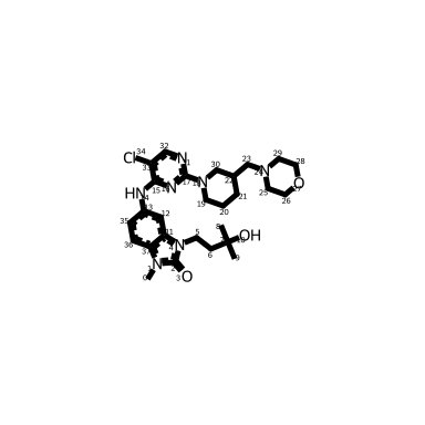 Cn1c(=O)n(CCC(C)(C)O)c2cc(Nc3nc(N4CCCC(CN5CCOCC5)C4)ncc3Cl)ccc21